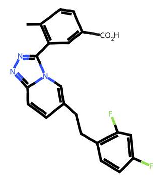 Cc1ccc(C(=O)O)cc1-c1nnc2ccc(CCc3ccc(F)cc3F)cn12